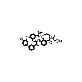 CC(C(=O)Nc1cccc2c1O[C@H](CN(C)Cc1ccc(Oc3ccccc3F)cc1)[C@H](C)CN(C(C)CO)C2=O)c1ccccc1